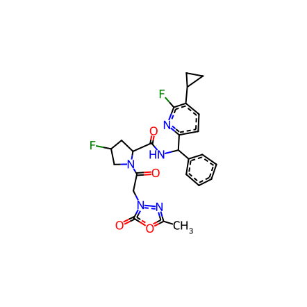 Cc1nn(CC(=O)N2CC(F)CC2C(=O)NC(c2ccccc2)c2ccc(C3CC3)c(F)n2)c(=O)o1